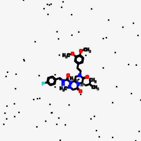 COc1ccc(CCN2C[C@H]3N(C(=O)CN(C)N3C(=O)NCc3ccc(F)cc3)[C@@H](CC(C)C)C2=O)cc1OC